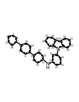 c1ccc(-c2ccc(-c3ccc(Nc4cccc(-n5c6ccccc6c6ccccc65)c4)cc3)cc2)cc1